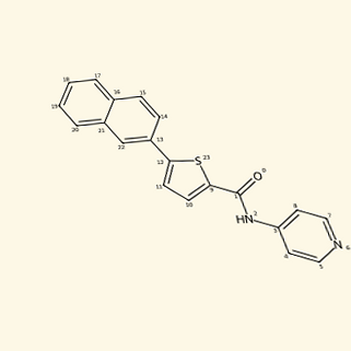 O=C(Nc1ccncc1)c1ccc(-c2ccc3ccccc3c2)s1